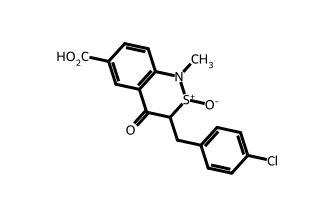 CN1c2ccc(C(=O)O)cc2C(=O)C(Cc2ccc(Cl)cc2)[S+]1[O-]